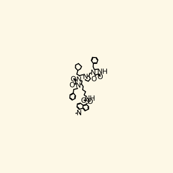 CN(C)c1cccc2c(S(=O)(=O)NCCCCC3CN(C(CC4CCCCC4)CN4CCCC4CN4C(=O)C(=O)NCC4Cc4ccccc4)C(=O)C(=O)N3CCc3ccccc3)cccc12